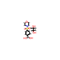 CC(C)(O)C(C)(C)O.O=S(=O)(c1ccc(B(O)O)cc1)N1CCOCC1